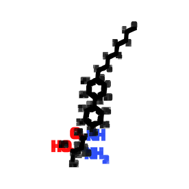 CCCCCCCCc1ccc(-c2ccc(NC(=O)[C@@H](N)[C@@H](C)O)cc2)cc1